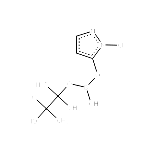 Cn1nccc1OB(O)OC(C)(C)C(C)(C)O